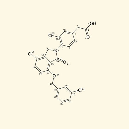 O=C(O)Cc1ccc(N2Cc3c(Cl)ccc(OCc4cccc(Cl)c4)c3C2=O)c(Cl)c1